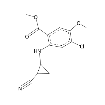 COC(=O)c1cc(OC)c(Cl)cc1NC1CC1C#N